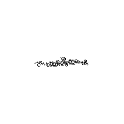 C=CC(=O)OCCCCOc1ccc2cc(C(=O)Oc3ccc(OC(=O)c4ccc5cc(OCCCCOC(=O)C=C)ccc5c4)c(C(C)=O)c3)ccc2c1